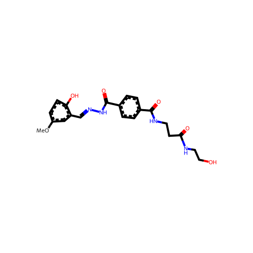 COc1ccc(O)c(/C=N/NC(=O)c2ccc(C(=O)NCCC(=O)NCCO)cc2)c1